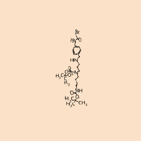 CC(C)(C)OC(=O)NCCCCN(CCCNCc1ccc(NC(=O)CBr)cc1)C(=O)OC(C)(C)C